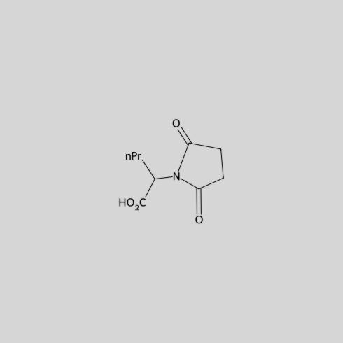 CCCC(C(=O)O)N1C(=O)CCC1=O